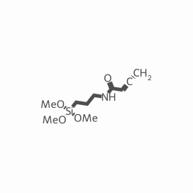 C=C=CC(=O)NCCC[Si](OC)(OC)OC